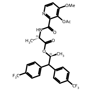 COc1ccnc(C(=O)N[C@@H](C)C(=O)O[C@@H](C)C(c2ccc(C(F)(F)F)cc2)c2ccc(C(F)(F)F)cc2)c1OC(C)=O